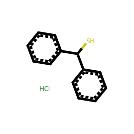 Cl.SC(c1ccccc1)c1ccccc1